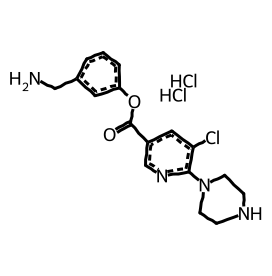 Cl.Cl.NCc1cccc(OC(=O)c2cnc(N3CCNCC3)c(Cl)c2)c1